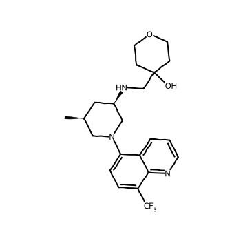 C[C@H]1C[C@@H](NCC2(O)CCOCC2)CN(c2ccc(C(F)(F)F)c3ncccc23)C1